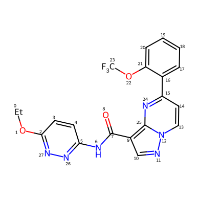 CCOc1ccc(NC(=O)c2cnn3ccc(-c4ccccc4OC(F)(F)F)nc23)nn1